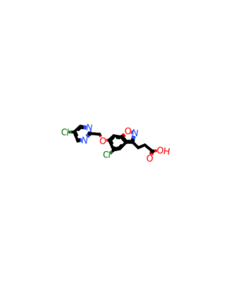 O=C(O)CCc1noc2cc(OCc3ncc(Cl)cn3)c(Cl)cc12